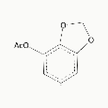 CC(=O)Oc1c[c]cc2c1OCO2